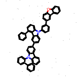 c1ccc(-c2ccccc2-n2c3ccccc3c3cc(-c4ccc5c(c4)c4c(-c6ccccc6)cccc4n5-c4cccc(-c5ccc6oc7ccccc7c6c5)c4)ccc32)cc1